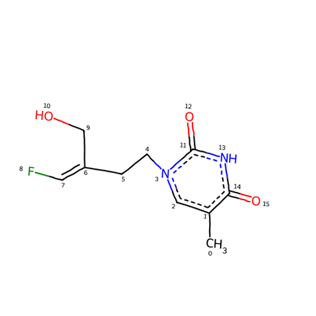 Cc1cn(CC/C(=C/F)CO)c(=O)[nH]c1=O